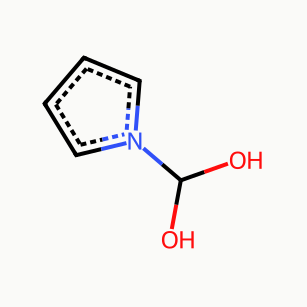 OC(O)n1cccc1